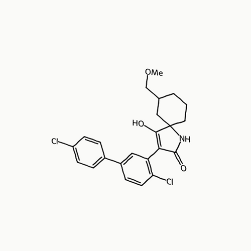 COCC1CCCC2(C1)NC(=O)C(c1cc(-c3ccc(Cl)cc3)ccc1Cl)=C2O